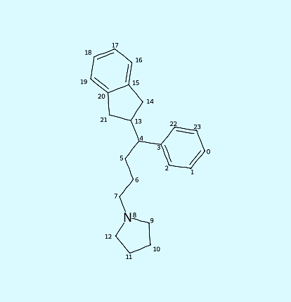 c1ccc(C(CCCN2CCCC2)C2Cc3ccccc3C2)cc1